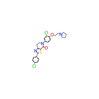 O=C1c2sc(-c3ccc(Cl)cc3)nc2CCN1c1ccc(OCCN2CCCC2)c(Cl)c1